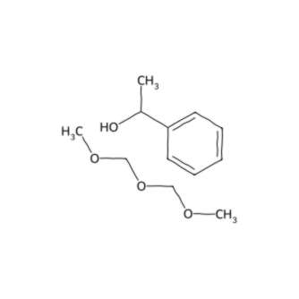 CC(O)c1ccccc1.COCOCOC